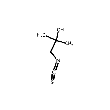 CC(C)(O)CN=C=S